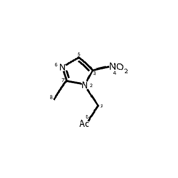 CC(=O)Cn1c([N+](=O)[O-])cnc1C